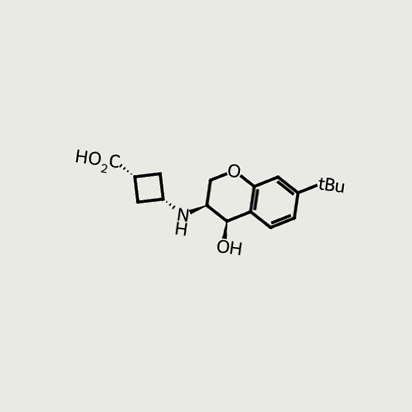 CC(C)(C)c1ccc2c(c1)OC[C@H](N[C@H]1C[C@@H](C(=O)O)C1)[C@@H]2O